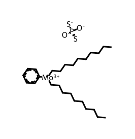 CCCCCCCCC[CH2][Mo+3]([CH2]CCCCCCCCC)[c]1ccccc1.[O-]P([O-])(=S)[S-]